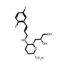 O=C(O)[C@@H]1CC[C@@H](NC/C=C/c2cc(F)ccc2F)[C@@H](C[C@H](O)CO)O1